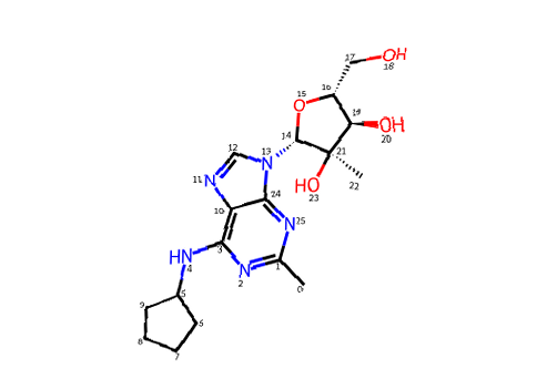 Cc1nc(NC2CCCC2)c2ncn([C@@H]3O[C@H](CO)[C@@H](O)[C@@]3(C)O)c2n1